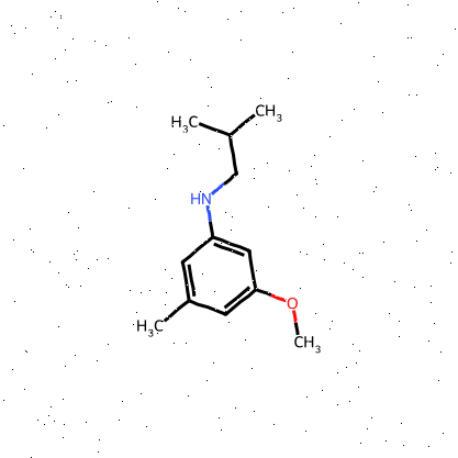 COc1cc(C)cc(NCC(C)C)c1